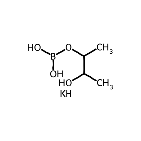 CC(O)C(C)OB(O)O.[KH]